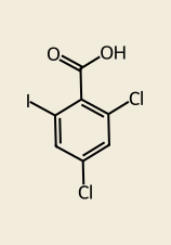 O=C(O)c1c(Cl)cc(Cl)cc1I